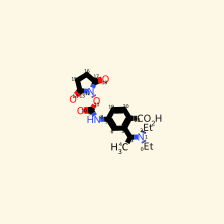 CCN(CC)C(C)c1cc(NC(=O)ON2C(=O)CCC2=O)ccc1C(=O)O